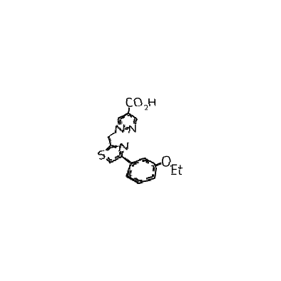 CCOc1cccc(-c2csc(Cn3cc(C(=O)O)cn3)n2)c1